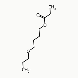 [CH2]CCOCCCCOC(=O)CC